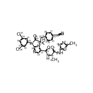 Cc1nnc(NC(=O)[C@H](C)NC(=O)c2cnc3n2[C@](C)(Cc2ccc(C#N)cc2)C(=O)N3c2cc(Cl)cc(Cl)c2)o1